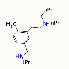 CCCN(CCc1cc(CNC(C)C)ccc1C)CC(C)C